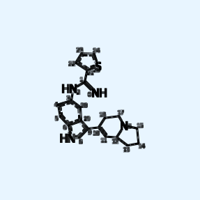 N=C(Nc1ccc2[nH]cc(C3=CC4CCCN4CC3)c2c1)c1cccs1